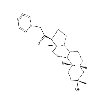 C[C@@]1(O)CC[C@@H]2C3CC[C@@]4(C)C(CC[C@@H]4C(=O)CN4C=C=NC=C4)C3CC[C@@H]2C1